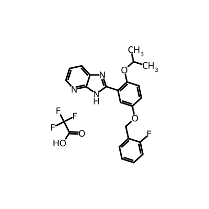 CC(C)Oc1ccc(OCc2ccccc2F)cc1-c1nc2cccnc2[nH]1.O=C(O)C(F)(F)F